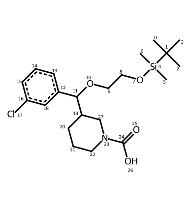 CC(C)(C)[Si](C)(C)OCCOC(c1cccc(Cl)c1)C1CCCN(C(=O)O)C1